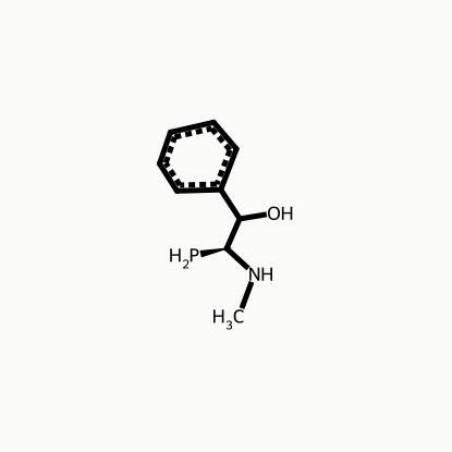 CN[C@@H](P)C(O)c1ccccc1